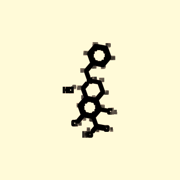 Cl.O=C(O)c1c(Cl)cc2c(c1Cl)CCN(Cc1ccccc1)C2